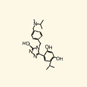 CC(C)c1cc(-c2nnc(O)n2Cc2ccc(CN(C)C(C)C)cc2)c(O)cc1O